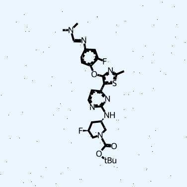 Cc1nc(Oc2ccc(/N=C/N(C)C)cc2F)c(-c2ccnc(N[C@H]3C[C@H](F)CN(C(=O)OC(C)(C)C)C3)n2)s1